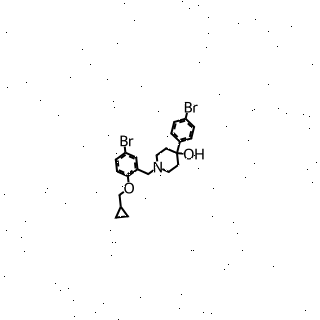 OC1(c2ccc(Br)cc2)CCN(Cc2cc(Br)ccc2OCC2CC2)CC1